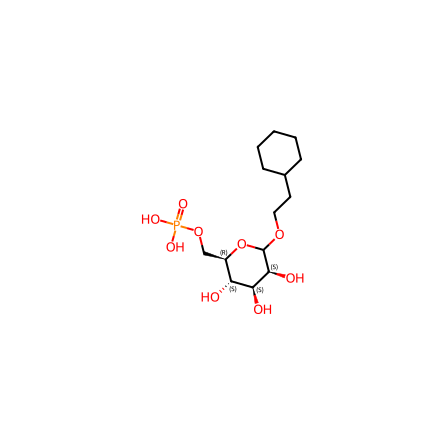 O=P(O)(O)OC[C@H]1OC(OCCC2CCCCC2)[C@@H](O)[C@@H](O)[C@@H]1O